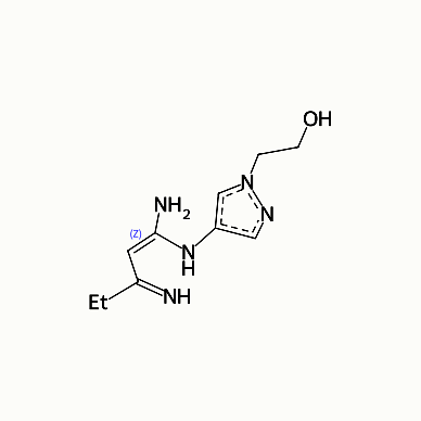 CCC(=N)/C=C(/N)Nc1cnn(CCO)c1